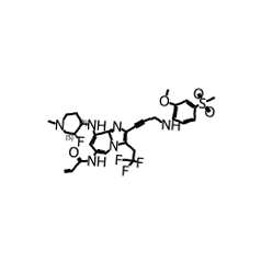 C=CC(=O)Nc1cc(N[C@@H]2CCN(C)C[C@@H]2F)c2nc(C#CCNc3ccc(S(C)(=O)=O)cc3OC)c(CC(F)(F)F)n2c1